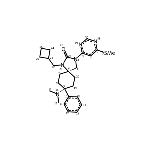 CSc1cc(N2C[C@]3(CC[C@@](c4ccccc4)(N(C)C)CC3)N(CC3CCC3)C2=O)ncn1